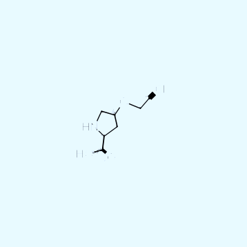 C#CCOC1CNC(C(=O)O)C1